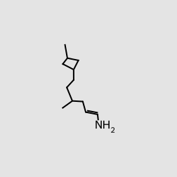 CC(C/C=C/N)CCC1CC(C)C1